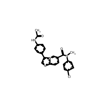 CC(=O)Nc1ccc(-c2cnc3ccc(C(=O)N(C)c4ccc(Cl)cc4)cn23)cc1